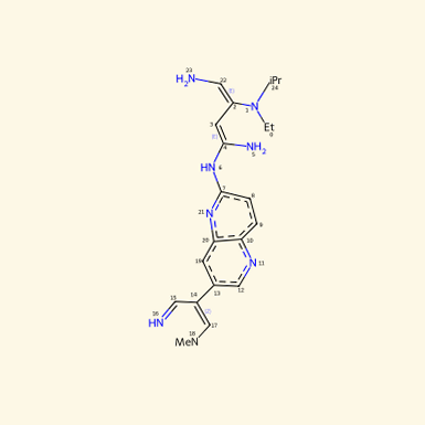 CCN(C(/C=C(\N)Nc1ccc2ncc(/C(C=N)=C/NC)cc2n1)=C/N)C(C)C